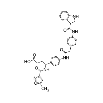 Cc1cc(C(=O)NC(CCC(=O)O)c2ccc(NC(=O)Cc3ccc(NC(=O)C4CNc5ccccc54)cc3)cc2)no1